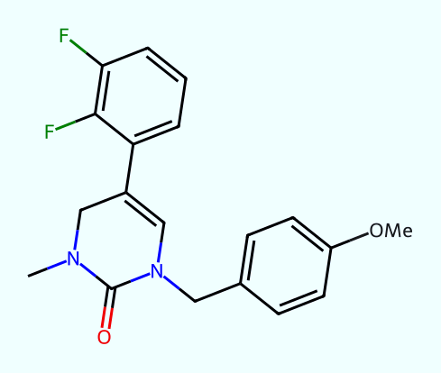 COc1ccc(CN2C=C(c3cccc(F)c3F)CN(C)C2=O)cc1